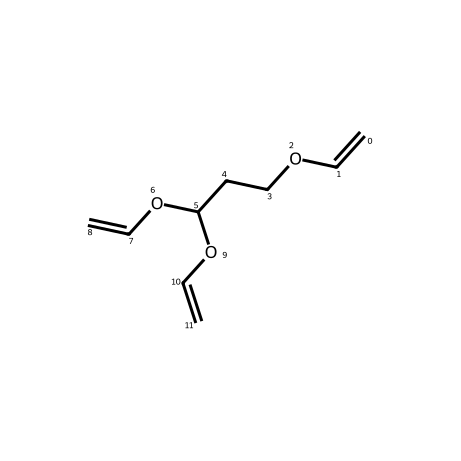 C=COCCC(OC=C)OC=C